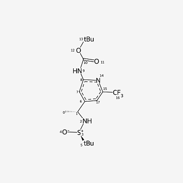 C[C@@H](N[S@+]([O-])C(C)(C)C)c1cc(NC(=O)OC(C)(C)C)nc(C(F)(F)F)c1